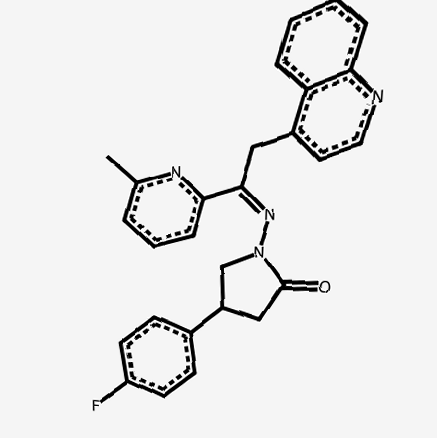 Cc1cccc(C(Cc2ccnc3ccccc23)=NN2CC(c3ccc(F)cc3)CC2=O)n1